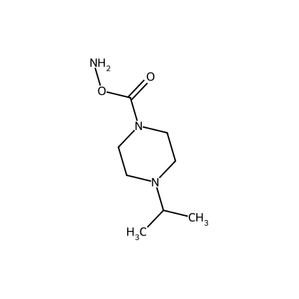 CC(C)N1CCN(C(=O)ON)CC1